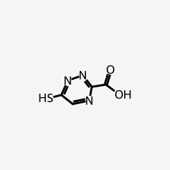 O=C(O)c1ncc(S)nn1